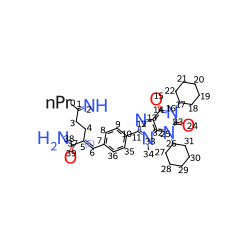 CCCC(=N)CC/C(=C\c1ccc(-c2nc3c(=O)n(C4CCCCC4)c(=O)n(C4CCCCC4)c3n2C)cc1)C(N)=O